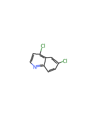 Clc1ccc2nccc(Cl)c2c1